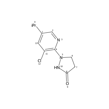 CC(C)c1cnc(N2CCC(=O)N2)c(Cl)c1